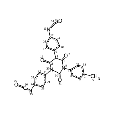 Cc1ccc(N2C(=O)C(c3ccc(N=C=O)cc3)C(=O)N(c3ccc(N=C=O)cc3)C2=O)cc1